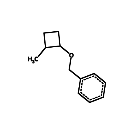 CC1CCC1OCc1ccccc1